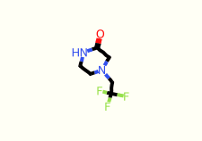 O=C1CN(CC(F)(F)F)CCN1